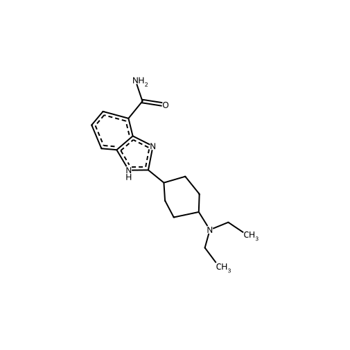 CCN(CC)C1CCC(c2nc3c(C(N)=O)cccc3[nH]2)CC1